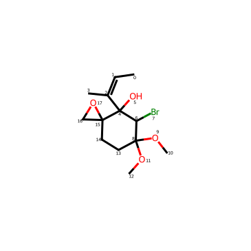 C/C=C(/C)C1(O)C(Br)C(OC)(OC)CCC12CO2